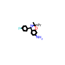 CCCC1(C)N=C(c2ccc(F)cc2)c2ccc(N)cc2O1